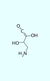 NCC(O)C(O)=C=O